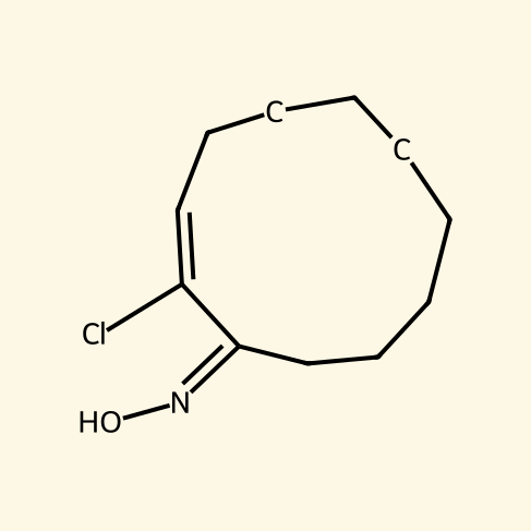 ON=C1CCCCCCCCC=C1Cl